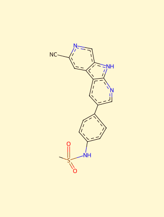 CS(=O)(=O)Nc1ccc(-c2cnc3[nH]c4cnc(C#N)cc4c3c2)cc1